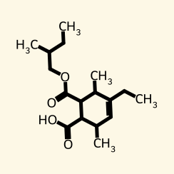 CCC1=CC(C)C(C(=O)O)C(C(=O)OCC(C)CC)C1C